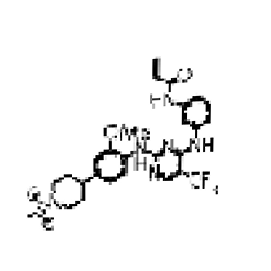 C=CC(=O)Nc1cccc(Nc2nc(Nc3ccc(C4CCN(S(C)(=O)=O)CC4)cc3OC)ncc2C(F)(F)F)c1